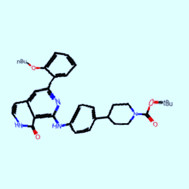 CCCCOc1ccccc1-c1cc2cc[nH]c(=O)c2c(Nc2ccc(C3CCN(C(=O)OC(C)(C)C)CC3)cc2)n1